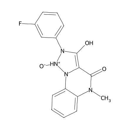 CN1C(=O)C2=C(O)N(c3cccc(F)c3)[NH+]([O-])N2c2ccccc21